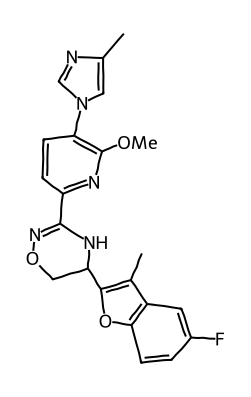 COc1nc(C2=NOCC(c3oc4ccc(F)cc4c3C)N2)ccc1-n1cnc(C)c1